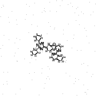 c1ccc(-c2nc(-c3ccccc3)nc(-c3ccc4c(c3)oc3ccnc(-c5nccc6ccccc56)c34)n2)cc1